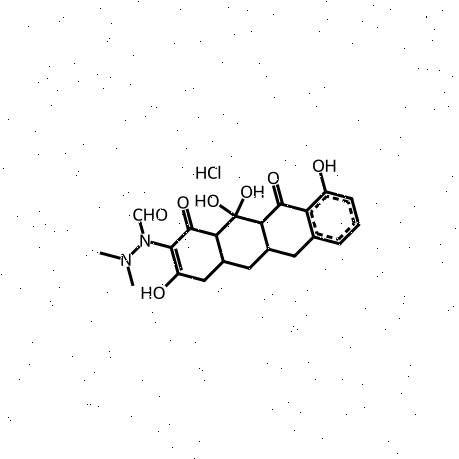 CN(C)N(C=O)C1=C(O)CC2CC3Cc4cccc(O)c4C(=O)C3C(O)(O)C2C1=O.Cl